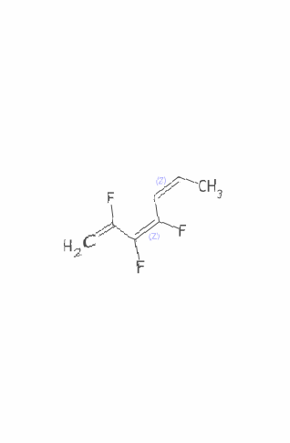 C=C(F)/C(F)=C(F)\C=C/C